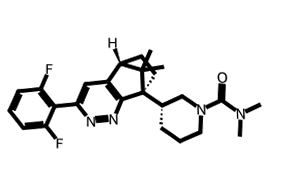 CN(C)C(=O)N1CCC[C@H]([C@@]23CC[C@@H](c4cc(-c5c(F)cccc5F)nnc42)C3(C)C)C1